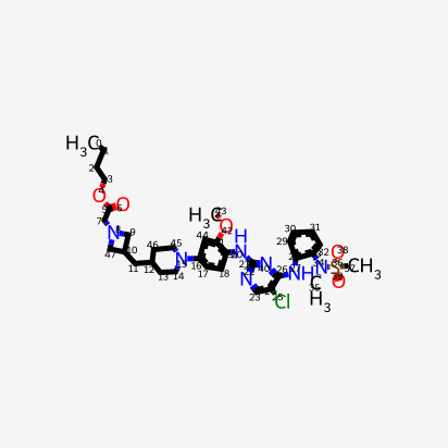 CCCCOC(=O)CN1CC(CC2CCN(c3ccc(Nc4ncc(Cl)c(Nc5ccccc5N(C)S(C)(=O)=O)n4)c(OC)c3)CC2)C1